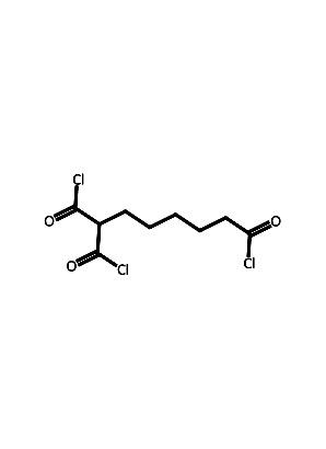 O=C(Cl)CCCCCC(C(=O)Cl)C(=O)Cl